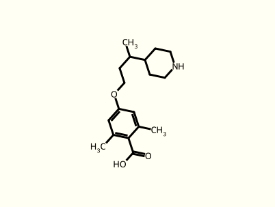 Cc1cc(OCCC(C)C2CCNCC2)cc(C)c1C(=O)O